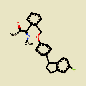 CNC(=O)C(=NOC)c1ccccc1COc1ccc(C2CCc3cc(F)ccc32)cc1